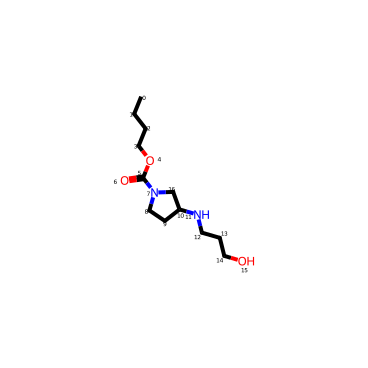 CCCCOC(=O)N1CCC(NCCCO)C1